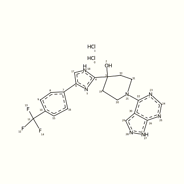 Cl.Cl.OC1(c2nc(-c3ccc(C(F)(F)F)cc3)c[nH]2)CCN(c2ncnc3[nH]ncc23)CC1